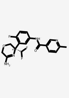 Cc1ccc(C(=O)Nc2ccc(F)c([C@]3(C(F)F)COCC(N)=N3)c2)cn1